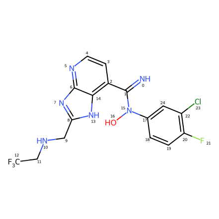 N=C(c1ccnc2nc(CNCC(F)(F)F)[nH]c12)N(O)c1ccc(F)c(Cl)c1